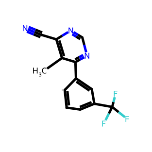 Cc1c(C#N)ncnc1-c1[c]ccc(C(F)(F)F)c1